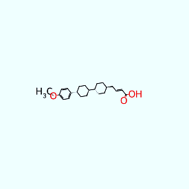 COc1ccc([C@H]2CC[C@H]([C@H]3CC[C@H](C/C=C/C(=O)O)CC3)CC2)cc1